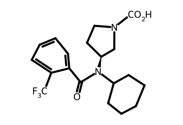 O=C(O)N1CC[C@H](N(C(=O)c2ccccc2C(F)(F)F)C2CCCCC2)C1